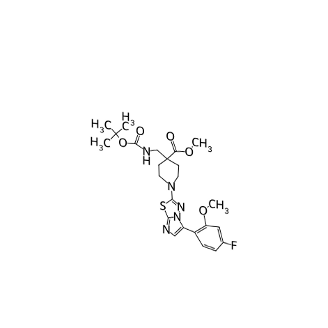 COC(=O)C1(CNC(=O)OC(C)(C)C)CCN(c2nn3c(-c4ccc(F)cc4OC)cnc3s2)CC1